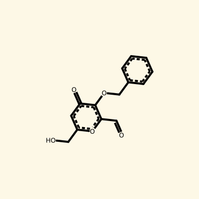 O=Cc1oc(CO)cc(=O)c1OCc1ccccc1